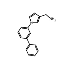 NCc1ccn(-c2cccc(-c3ccccc3)c2)c1